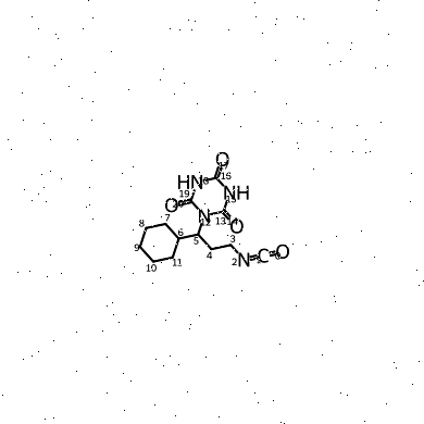 O=C=NCCC(C1CCCCC1)n1c(=O)[nH]c(=O)[nH]c1=O